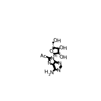 CC(=O)c1nc2c(N)ncnc2n1[C@@H]1O[C@H](CO)[C@@H](O)[C@H]1O